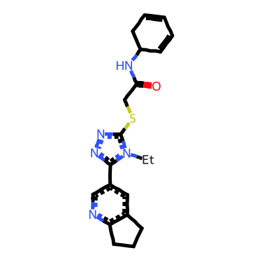 CCn1c(SCC(=O)NC2C=CC=CC2)nnc1-c1cnc2c(c1)CCC2